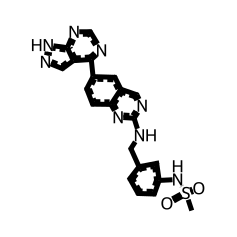 CS(=O)(=O)Nc1cccc(CNc2ncc3cc(-c4ncnc5[nH]ncc45)ccc3n2)c1